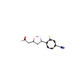 N#Cc1ccc(C2CC(CC(=O)O)ON2)c(F)c1